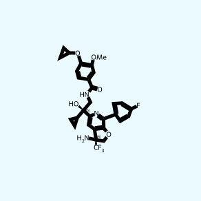 COc1cc(C(=O)NC[C@](O)(c2cc3c(c(-c4ccc(F)cc4)n2)OC[C@@]3(N)C(F)(F)F)C2CC2)ccc1OC1CC1